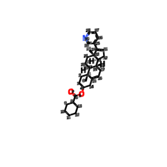 C[C@]12CC[C@H](OC(=O)C3CCCCC3)CC1=CC[C@@H]1[C@@H]2CC[C@]2(C)C(c3cccnc3)=CC[C@@H]12